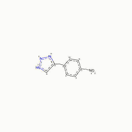 O=[N+]([O-])c1ccc(-c2c[nH]nn2)cc1